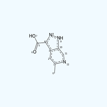 Cc1cc2c(C(=O)O)n[nH]c2cn1